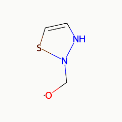 [O]CN1NC=CS1